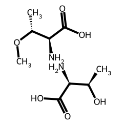 CO[C@H](C)[C@H](N)C(=O)O.C[C@@H](O)[C@H](N)C(=O)O